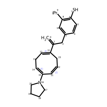 C=C(Cc1ccc(S)c(C(C)C)c1)/C1=C/C/C=C(N2CCCC2)\C=C/C1